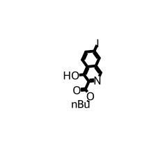 CCCCOC(=O)c1ncc2cc(I)ccc2c1O